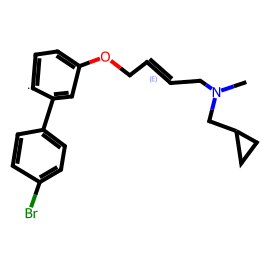 CN(C/C=C/COc1cc[c]c(-c2ccc(Br)cc2)c1)CC1CC1